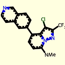 CNc1ccc(-c2ccc3cnccc3c2)c2c(Cl)c(C(F)(F)F)nn12